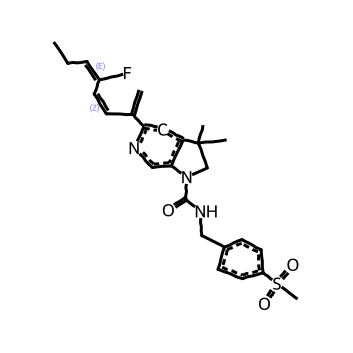 C=C(/C=C\C(F)=C/CC)c1cc2c(cn1)N(C(=O)NCc1ccc(S(C)(=O)=O)cc1)CC2(C)C